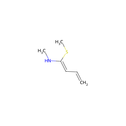 C=C/C=C(/NC)SC